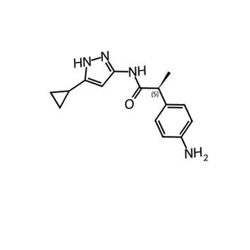 C[C@H](C(=O)Nc1cc(C2CC2)[nH]n1)c1ccc(N)cc1